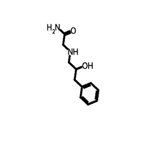 NC(=O)CNCC(O)Cc1ccccc1